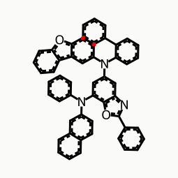 c1ccc(-c2nc3cc(N(c4ccc5oc6ccccc6c5c4)c4ccccc4-c4ccccc4)cc(N(c4ccccc4)c4ccc5ccccc5c4)c3o2)cc1